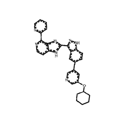 c1ccc(-c2nccc3[nH]c(-c4n[nH]c5ccc(-c6cncc(OC7CCCCC7)c6)cc45)nc23)nc1